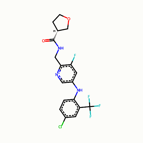 O=C(NCc1ncc(Nc2ccc(Cl)cc2C(F)(F)F)cc1F)[C@@H]1CCOC1